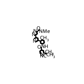 CNC(=O)c1cc(-c2cncc(-c3cc(NC(=O)c4ccnc(C(C)(C)C#N)c4)ccc3C)c2)ncn1